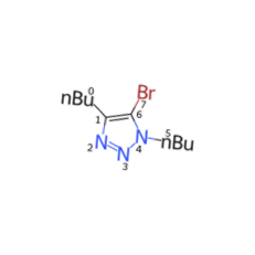 CCCCc1nnn(CCCC)c1Br